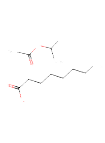 CCCCCCCC(=O)O.CCCCCCCCCC(=O)OC(CC)CCCCC